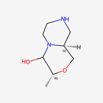 C[C@H]1OC[C@@H]2CNCCN2C1O